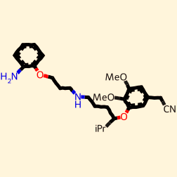 COc1cc(CC#N)cc(OC(CCCNCCCOc2ccccc2N)C(C)C)c1OC